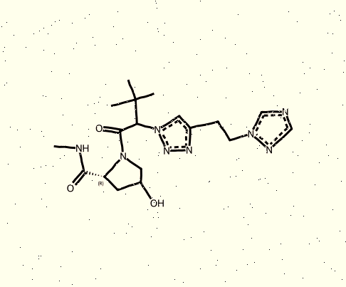 CNC(=O)[C@H]1CC(O)CN1C(=O)C(n1cc(CCn2cncn2)nn1)C(C)(C)C